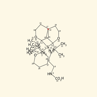 C[Si](C)(C)C1([Si](CCCNC(=O)O)(C2([Si](C)(C)C)CCCCO2)C2([Si](C)(C)C)CCCCO2)CCCCO1